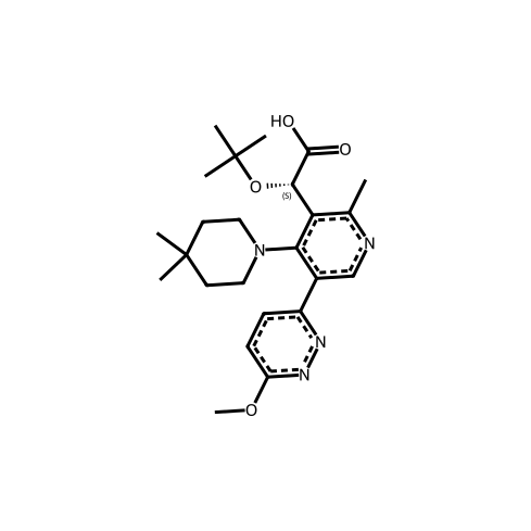 COc1ccc(-c2cnc(C)c([C@H](OC(C)(C)C)C(=O)O)c2N2CCC(C)(C)CC2)nn1